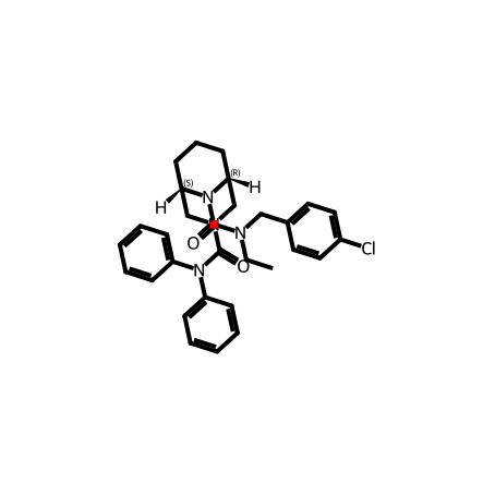 CCN(Cc1ccc(Cl)cc1)C(=O)N1[C@@H]2CCC[C@H]1CN(C(=O)N(c1ccccc1)c1ccccc1)C2